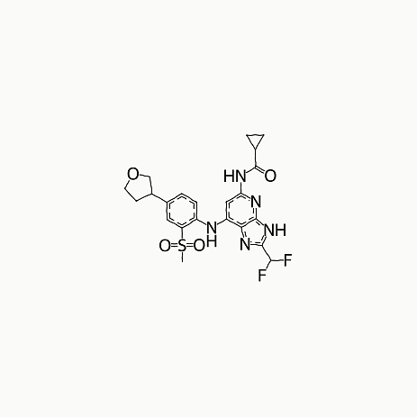 CS(=O)(=O)c1cc(C2CCOC2)ccc1Nc1cc(NC(=O)C2CC2)nc2[nH]c(C(F)F)nc12